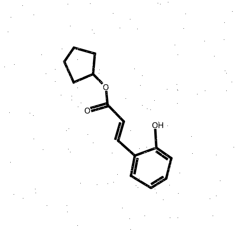 O=C(/C=C/c1ccccc1O)OC1CCCC1